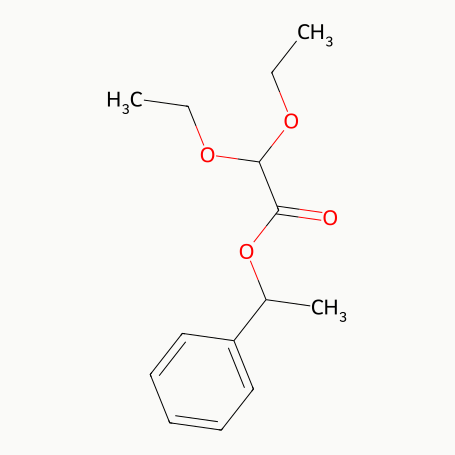 CCOC(OCC)C(=O)OC(C)c1ccccc1